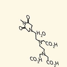 CN1C(=O)CN(CCN(CCN(CC(=O)O)CC(=O)O)CC(=O)O)CC1=O.O